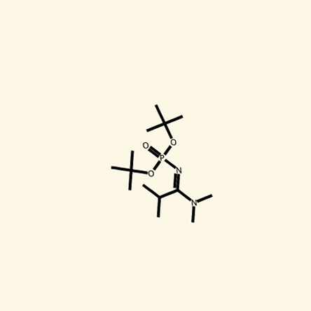 CC(C)/C(=N\P(=O)(OC(C)(C)C)OC(C)(C)C)N(C)C